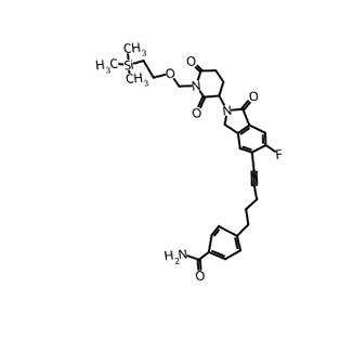 C[Si](C)(C)CCOCN1C(=O)CCC(N2Cc3cc(C#CCCCc4ccc(C(N)=O)cc4)c(F)cc3C2=O)C1=O